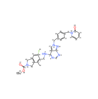 Cc1c(CNc2ncnc3nn(Cc4ccc(Cn5ccccc5=O)cc4)cc23)c(F)cc2c1CN(C(=O)OC(C)(C)C)C2